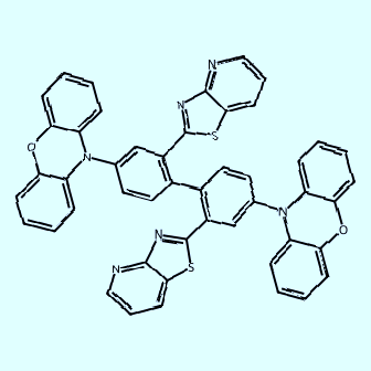 c1ccc2c(c1)Oc1ccccc1N2c1ccc(-c2ccc(N3c4ccccc4Oc4ccccc43)cc2-c2nc3ncccc3s2)c(-c2nc3ncccc3s2)c1